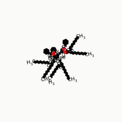 CCCCCCCCCCC[C@H](CC(=O)N[C@@H](CC[C@@H]1O[C@H](CO)[C@@H](OP(=O)(OCc2ccccc2)OCc2ccccc2)[C@H](OC(=O)C[C@@H](CCCCCCCCCCC)OC(=O)CCCCCCCCC)[C@H]1NC(=O)C[C@@H](CCCCCCCCCCC)OC(=O)CCCCCCCCC)CC(=O)OCc1ccccc1)OC(=O)CCCCCCCCC